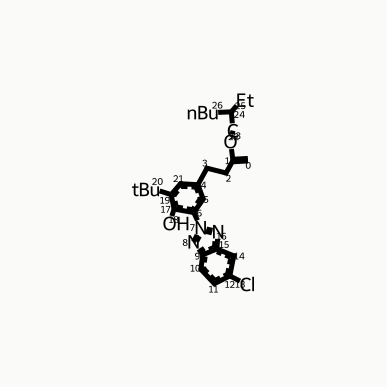 C=C(CCc1cc(-n2nc3ccc(Cl)cc3n2)c(O)c(C(C)(C)C)c1)OCC(CC)CCCC